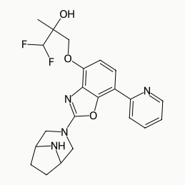 CC(O)(COc1ccc(-c2ccccn2)c2oc(N3CC4CCC(C3)N4)nc12)C(F)F